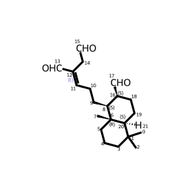 CC1(C)CCC[C@]2(C)[C@@H](CC/C=C(/C=O)CC=O)[C@@H](C=O)CC[C@@H]12